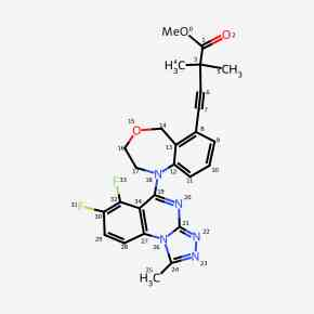 COC(=O)C(C)(C)C#Cc1cccc2c1COCCN2c1nc2nnc(C)n2c2ccc(F)c(F)c12